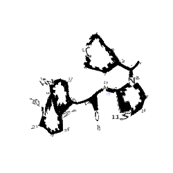 CC(c1ccccc1)n1ccs/c1=N\C(=O)c1c[nH]c2ncccc12